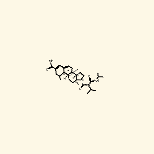 CC(C)NC(=O)N(C(=O)[C@H]1CC[C@H]2[C@@H]3CC=C4C=C(C(=O)O)CC(C)[C@]4(C)[C@H]3CC[C@]12C)C(C)C